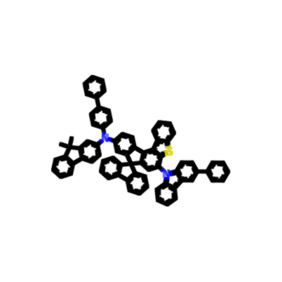 CC1(C)c2ccccc2-c2ccc(N(c3ccc(-c4ccccc4)cc3)c3ccc4c(c3)C3(c5ccccc5-c5ccccc53)c3cc(-n5c6ccccc6c6cc(-c7ccccc7)ccc65)c5sc6ccccc6c5c3-4)cc21